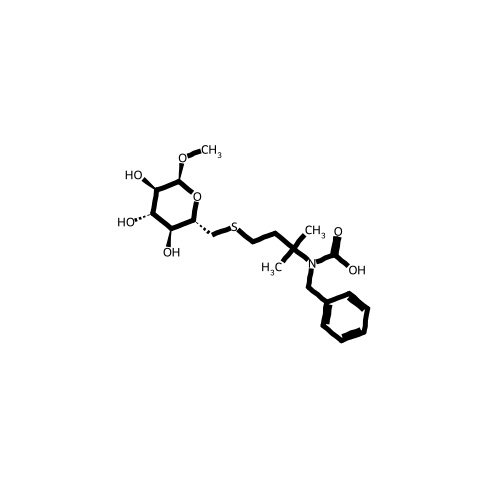 CO[C@H]1O[C@H](CSCCC(C)(C)N(Cc2ccccc2)C(=O)O)[C@@H](O)[C@H](O)[C@H]1O